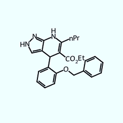 CCCC1=C(C(=O)OCC)C(c2ccccc2OCc2ccccc2)c2c[nH]nc2N1